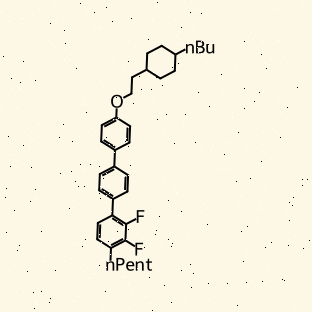 CCCCCc1ccc(-c2ccc(-c3ccc(OCCC4CCC(CCCC)CC4)cc3)cc2)c(F)c1F